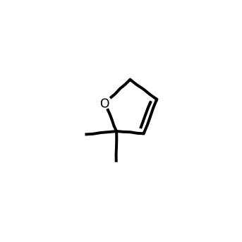 CC1(C)C=CCO1